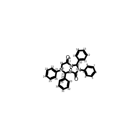 O=C1N(c2ccccc2)C(c2ccccc2)N2C(=O)CN(c3ccccc3)C(c3ccccc3)N12